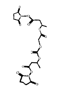 CC(CC(=O)ON1C(=O)CCC1=O)OC(=O)COC(=O)OC(C)CC(=O)ON1C(=O)CCC1=O